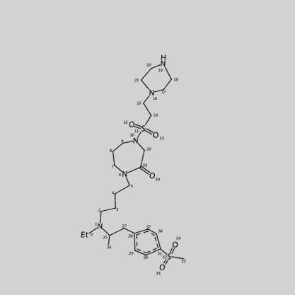 CCN(CCCCN1CCCN(S(=O)(=O)CCN2CCNCC2)CC1=O)C(C)Cc1ccc(S(C)(=O)=O)cc1